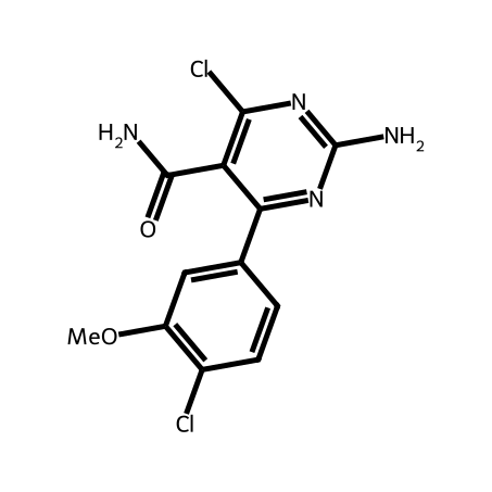 COc1cc(-c2nc(N)nc(Cl)c2C(N)=O)ccc1Cl